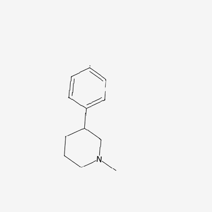 CN1CCCC(c2cc[c]cc2)C1